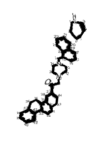 C1=CC=CNC=C1.O=C(CN1CCN(Cc2cccc3ccccc23)CC1)C1C=c2c(ccc3c2=CCc2ccccc2-3)CC1